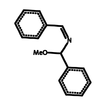 COC(/N=C\c1ccccc1)c1ccccc1